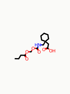 CCCC(=O)OCOC(=O)NCC1(CC(=O)O)CCCCC1